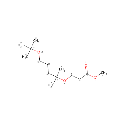 COC(=O)CCOC(C)(C)CCCOC(C)(C)C